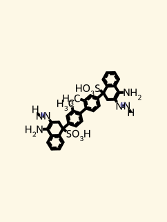 [H]/N=N/C1=C(N)c2ccccc2C(c2ccc(-c3ccc(C4(S(=O)(=O)O)CC(/N=N/[H])=C(N)c5ccccc54)cc3C)c(C)c2)(S(=O)(=O)O)C1